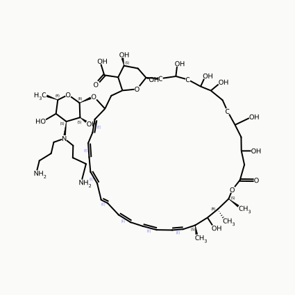 C[C@@H]1OC(=O)CC(O)CC(O)CCC(O)C(O)CC(O)CC2(O)C[C@H](O)C(C(=O)O)C(CC(O[C@@H]3O[C@H](C)C(O)[C@H](N(CCCN)CCCN)[C@@H]3O)/C=C/C=C/C=C/C=C/C=C/C=C/C=C/[C@H](C)C(O)[C@H]1C)O2